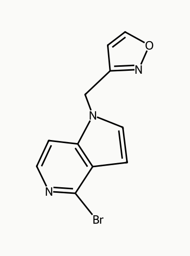 Brc1nccc2c1ccn2Cc1ccon1